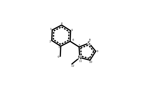 Cc1ccccc1-c1scc[n+]1C